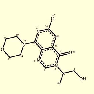 CC(CO)n1cnc2c(N3CCOCC3)nc(Cl)cc2c1=O